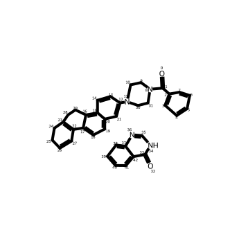 O=C(c1ccccc1)N1CCN(c2ccc3c4c(ccc3c2)C2=C(CCC=C2)CC4)CC1.O=c1[nH]cnc2ccccc12